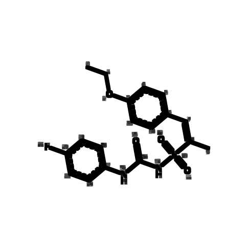 CCOc1ccc(C=C(C)S(=O)(=O)NC(=O)Nc2ccc(F)cc2)cc1